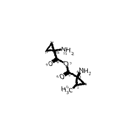 CC1CC1(N)C(=O)OC(=O)C1(N)CC1